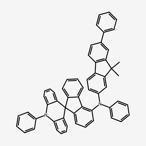 CC1(C)c2cc(-c3ccccc3)ccc2-c2ccc(N(c3ccccc3)c3cccc4c3-c3ccccc3C43c4ccccc4N(c4ccccc4)c4ccccc43)cc21